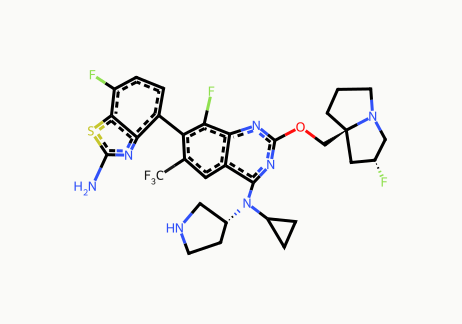 Nc1nc2c(-c3c(C(F)(F)F)cc4c(N(C5CC5)[C@@H]5CCNC5)nc(OC[C@@]56CCCN5C[C@H](F)C6)nc4c3F)ccc(F)c2s1